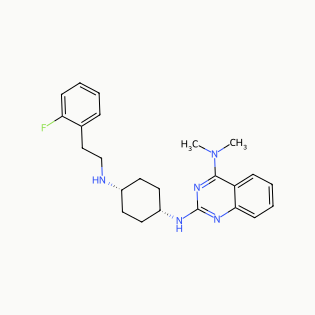 CN(C)c1nc(N[C@H]2CC[C@@H](NCCc3ccccc3F)CC2)nc2ccccc12